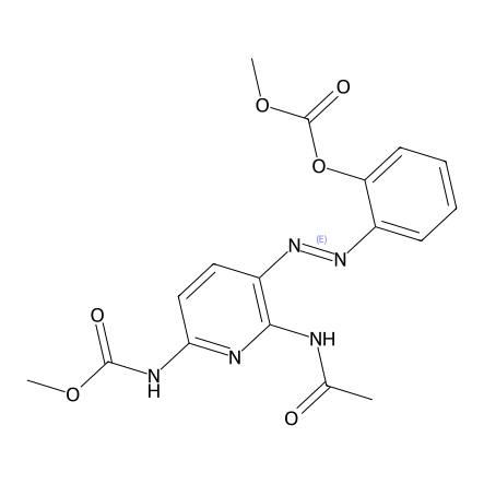 COC(=O)Nc1ccc(/N=N/c2ccccc2OC(=O)OC)c(NC(C)=O)n1